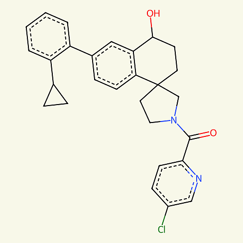 O=C(c1ccc(Cl)cn1)N1CCC2(CCC(O)c3cc(-c4ccccc4C4CC4)ccc32)C1